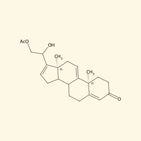 CC(=O)OCC(O)C1=CCC2C3CCC4=CC(=O)CC[C@]4(C)C3=CC[C@]12C